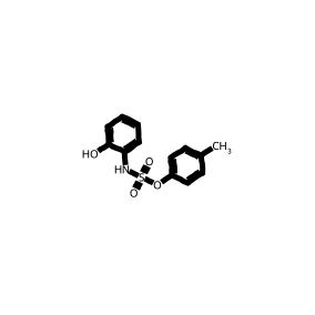 Cc1ccc(OS(=O)(=O)Nc2ccccc2O)cc1